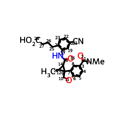 CNC(=O)c1ccc2c(c1)C1(CO2)C(C)C1C(=O)Nc1cc(C#N)ccc1CCCC(=O)O